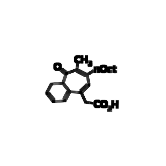 CCCCCCCCC1=C(C)C(=O)C2CC=CC=C2C(CC(=O)O)=C1